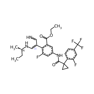 CCOC(=O)c1cc(NC(=O)C2(c3ccc(C(F)(F)F)cc3F)CC2)cc(F)c1/C(C=N)=C/N[C@H](C)CC